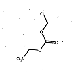 O=C(OCCl)OCC(Cl)(Cl)Cl